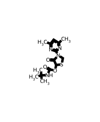 Cc1cc(C)nc(N2CSC(OC(=O)NC(C)(C)C)C2=O)n1